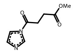 COC(=O)CCC(=O)n1ccnc1